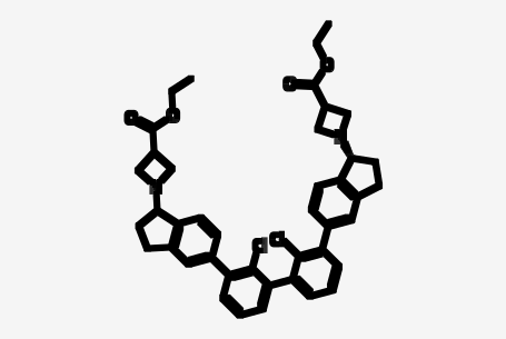 CCOC(=O)C1CN(C2CCc3cc(-c4cccc(-c5cccc(-c6ccc7c(c6)CC[C@@H]7N6CC(C(=O)OCC)C6)c5Cl)c4Cl)ccc32)C1